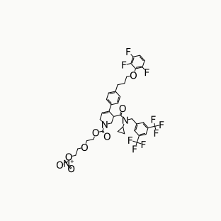 O=C(OCCOCCO[N+](=O)[O-])N1CC=C(c2ccc(CCCOc3c(F)ccc(F)c3F)cc2)C(C(=O)N(Cc2cc(C(F)(F)F)cc(C(F)(F)F)c2)C2CC2)C1